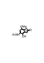 COc1cc(NC(C)=O)c(O)c2c1NC(=O)C2